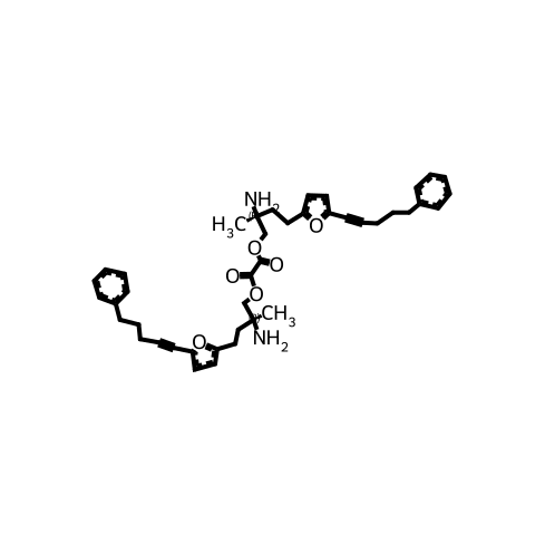 C[C@@](N)(CCc1ccc(C#CCCCc2ccccc2)o1)COC(=O)C(=O)OC[C@](C)(N)CCc1ccc(C#CCCCc2ccccc2)o1